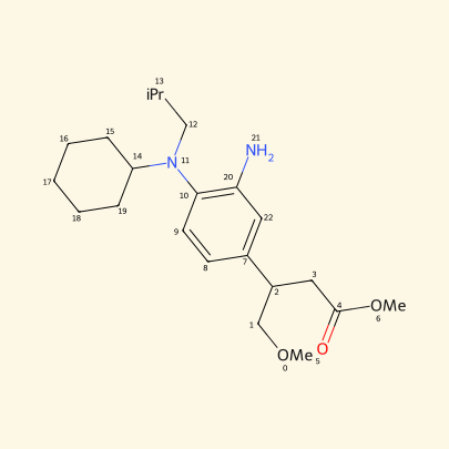 COCC(CC(=O)OC)c1ccc(N(CC(C)C)C2CCCCC2)c(N)c1